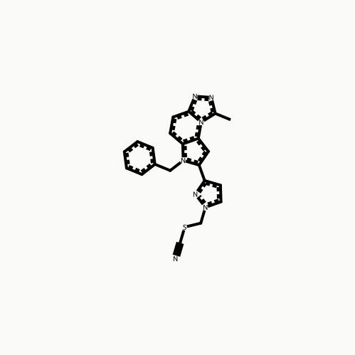 Cc1nnc2ccc3c(cc(-c4ccn(CSC#N)n4)n3Cc3ccccc3)n12